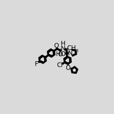 C[C@@H](NC(=O)C(=O)c1ccc(-c2ccc(F)cc2)cc1)[C@@](O)(c1ccc(OC2CCCC2)c(Cl)c1)N1CCCC1